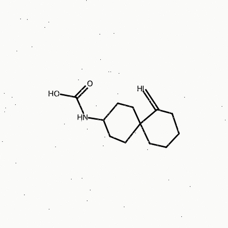 O=C(O)NC1CCC2(CCCCC2=[IH])CC1